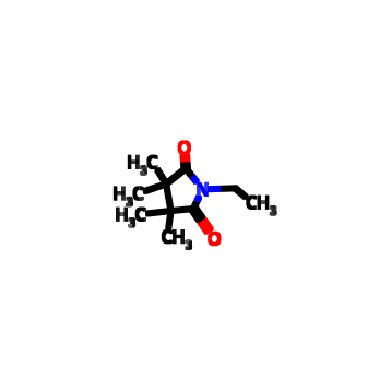 CCN1C(=O)C(C)(C)C(C)(C)C1=O